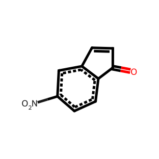 O=C1C=Cc2cc([N+](=O)[O-])ccc21